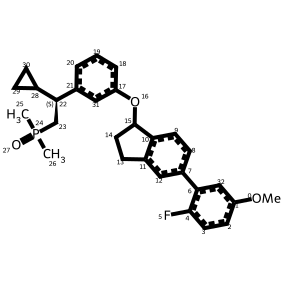 COc1ccc(F)c(-c2ccc3c(c2)CCC3Oc2cccc([C@@H](CP(C)(C)=O)C3CC3)c2)c1